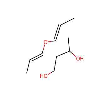 CC(O)CCO.CC=COC=CC